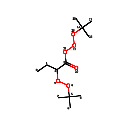 CCC(OOC(C)(C)C)C(=O)OOOC(C)(C)C